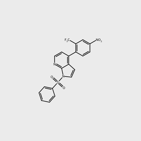 O=[N+]([O-])c1ccc(-c2ccnc3c2ccn3S(=O)(=O)c2ccccc2)c(C(F)(F)F)c1